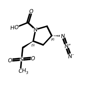 CS(=O)(=O)C[C@@H]1C[C@@H](N=[N+]=[N-])CN1C(=O)O